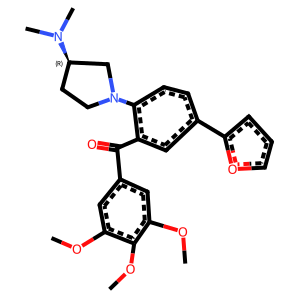 COc1cc(C(=O)c2cc(-c3ccco3)ccc2N2CC[C@@H](N(C)C)C2)cc(OC)c1OC